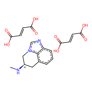 CN[C@@H]1Cc2cccc3ncn(c23)C1.O=C(O)C=CC(=O)O.O=C(O)C=CC(=O)O